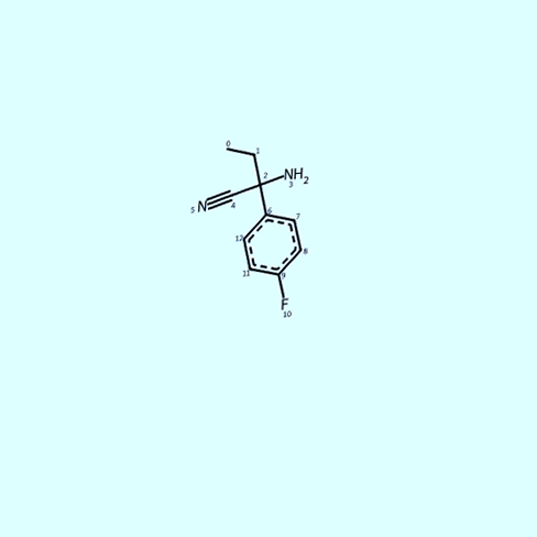 CCC(N)(C#N)c1ccc(F)cc1